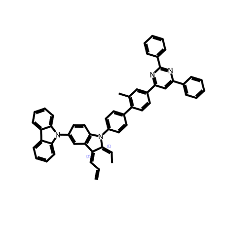 C=C/C=c1\c(=C/C)n(-c2ccc(-c3ccc(-c4cc(-c5ccccc5)nc(-c5ccccc5)n4)cc3C)cc2)c2ccc(-n3c4ccccc4c4ccccc43)cc12